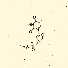 CS(=O)(=O)C[C@@H]1CO[C@@H](n2ccc(=O)[nH]c2=O)C1